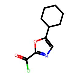 O=C(Cl)c1ncc(C2CCCCC2)o1